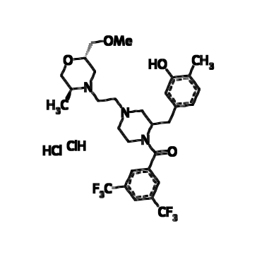 COC[C@@H]1CN(CCN2CCN(C(=O)c3cc(C(F)(F)F)cc(C(F)(F)F)c3)C(Cc3ccc(C)c(O)c3)C2)[C@@H](C)CO1.Cl.Cl